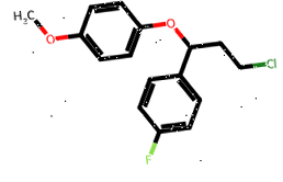 COc1ccc(OC(CCCl)c2ccc(F)cc2)cc1